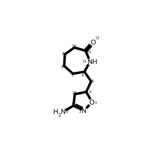 NC1=NOC(CC2CCCCC(=O)N2)C1